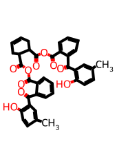 Cc1ccc(O)c(C(=O)c2ccccc2C(=O)OC(=O)C2CC=CCC2C(=O)OC(=O)c2ccccc2C(=O)c2cc(C)ccc2O)c1